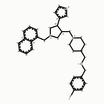 Fc1ccc(COCC2CCN(CC3CN(Cc4cccc5ccccc45)CC3c3ccsc3)CC2)cc1